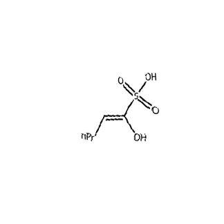 CCC/C=C(\O)S(=O)(=O)O